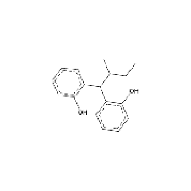 CCC(C)C(c1ccccc1O)c1ccccc1O